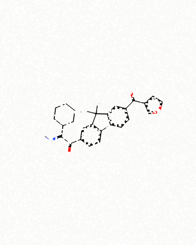 CCCC1(CCC)c2cc(C(=O)/C(=N/OC(C)=O)C3CCCCC3)ccc2-c2ccc(C(=O)c3ccoc3)cc21